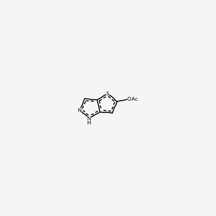 CC(=O)Oc1cc2[nH]ncc2s1